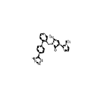 CCCCc1cn(-c2nccn2CCCC)c(=O)n1Cc1cnccc1-c1ccc(-c2nnn[nH]2)cc1